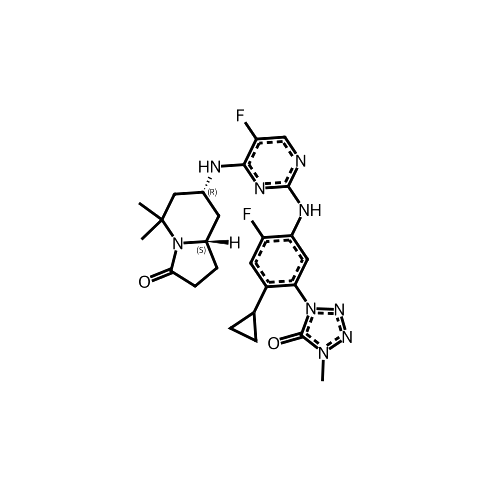 Cn1nnn(-c2cc(Nc3ncc(F)c(N[C@@H]4C[C@@H]5CCC(=O)N5C(C)(C)C4)n3)c(F)cc2C2CC2)c1=O